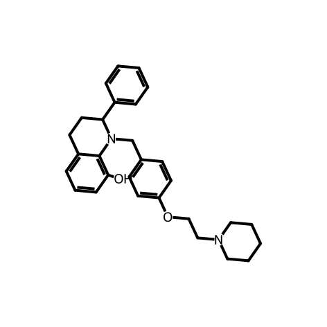 Oc1cccc2c1N(Cc1ccc(OCCN3CCCCC3)cc1)C(c1ccccc1)CC2